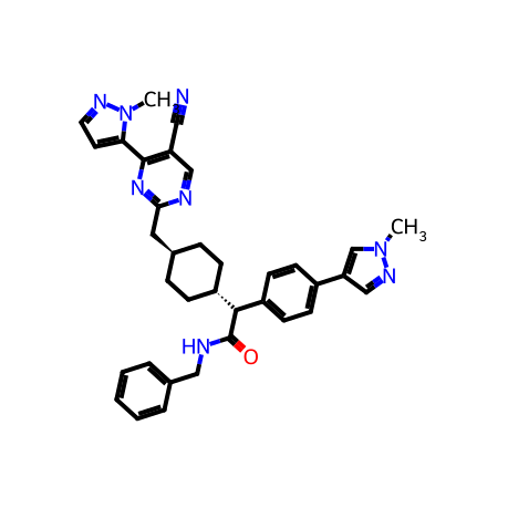 Cn1cc(-c2ccc(C(C(=O)NCc3ccccc3)[C@H]3CC[C@H](Cc4ncc(C#N)c(-c5ccnn5C)n4)CC3)cc2)cn1